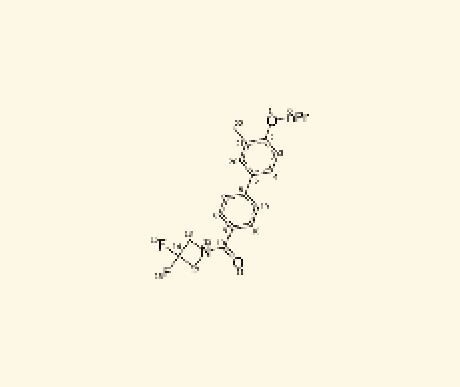 CCCOc1ccc(-c2ccc(C(=O)N3CC(F)(F)C3)cc2)cc1C